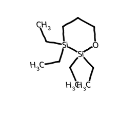 CC[Si]1(CC)CCCO[Si]1(CC)CC